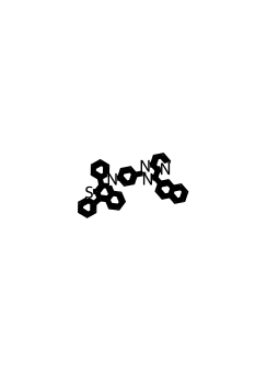 c1ccc2cc(-c3nc(-c4ccc(-n5c6ccccc6c6c7sc8ccccc8c7c7ccccc7c65)cc4)nc4cccnc34)ccc2c1